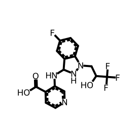 O=C(O)c1ccncc1NC1NN(CC(O)C(F)(F)F)c2ccc(F)cc21